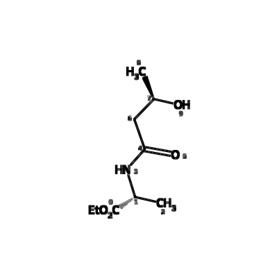 CCOC(=O)[C@@H](C)NC(=O)C[C@@H](C)O